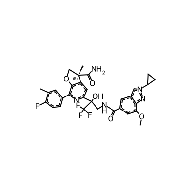 COc1cc(C(=O)NCC(O)(c2cc3c(c(-c4ccc(F)c(C)c4)n2)OC[C@]3(C)C(N)=O)C(F)(F)F)cc2cn(C3CC3)nc12